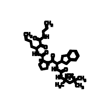 C=CCCC(NC(=O)[C@@H]1CCCN1C(=O)C(NC(=O)NC(C)(C)CC(C)(C)C)C1Cc2ccccc2C1)C(=O)C(=O)NCC=C